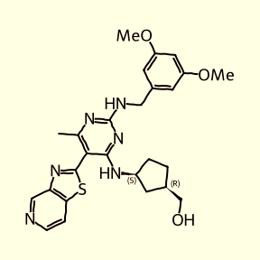 COc1cc(CNc2nc(C)c(-c3nc4cnccc4s3)c(N[C@H]3CC[C@@H](CO)C3)n2)cc(OC)c1